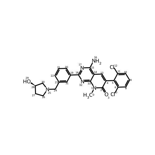 Cn1c(=O)c(-c2c(Cl)cccc2Cl)cc2c(N)nc(-c3cccc(CN4CC[C@@H](O)C4)c3)nc21